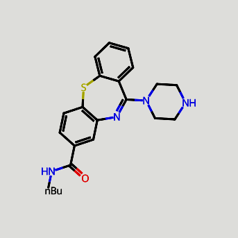 CCCCNC(=O)c1ccc2c(c1)N=C(N1CCNCC1)c1ccccc1S2